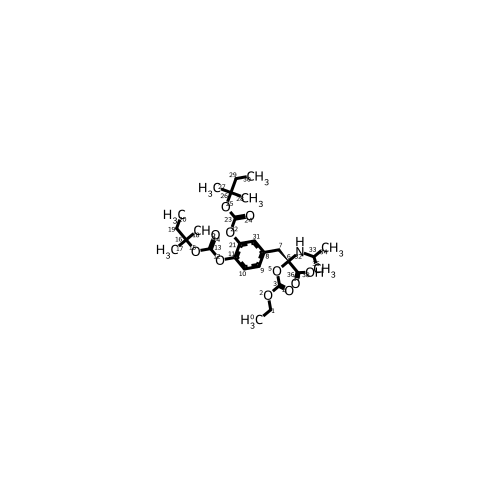 CCOC(=O)O[C@](Cc1ccc(OC(=O)OC(C)(C)CC)c(OC(=O)OC(C)(C)CC)c1)(NC(C)C)C(=O)O